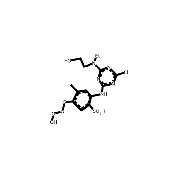 CCN(CCO)c1nc(Cl)nc(Nc2cc(C)c(SOOO)cc2S(=O)(=O)O)n1